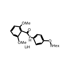 CCCCCCOc1ccc(PC(=O)c2c(OC)cccc2OC)cc1.[LiH]